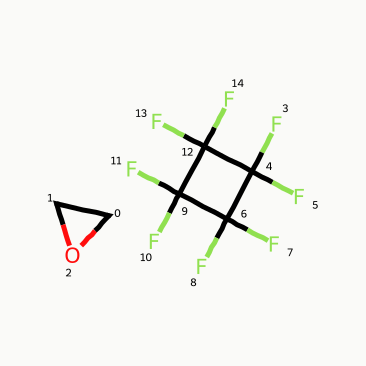 C1CO1.FC1(F)C(F)(F)C(F)(F)C1(F)F